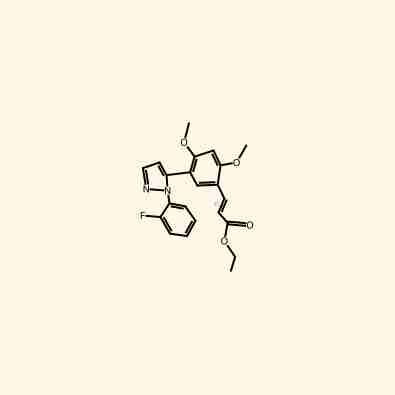 CCOC(=O)/C=C/c1cc(-c2ccnn2-c2ccccc2F)c(OC)cc1OC